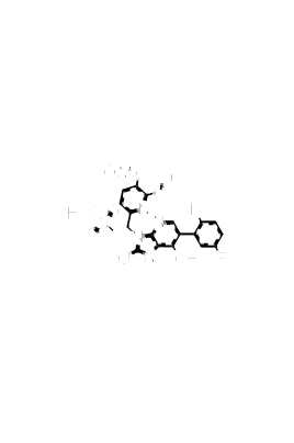 CCOc1nc([C@@H](CS(C)(=O)=O)n2c(=O)[nH]c3c(C)c(-c4cc(F)ccc4F)cnc32)ccc1OC